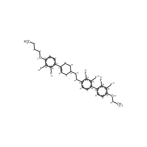 CCCCOc1ccc(C2=CCC(CCc3ccc(-c4ccc(OCC)c(F)c4F)c(F)c3F)CC2)c(F)c1F